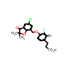 CCc1c(CCC(=O)O)ccc(OCc2cc(Cl)cc3c2OC(C)(C)C3=O)c1F